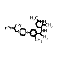 C=C1CCC(NC(=C)c2ccc(N3CCN(CC(CCC)CCC)CC3)cc2C)C(=C)N1